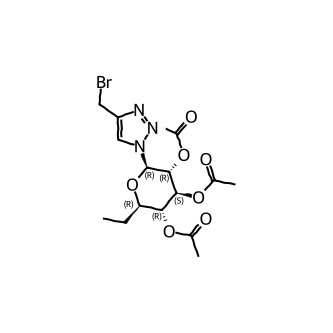 CC[C@H]1O[C@@H](n2cc(CBr)nn2)[C@H](OC(C)=O)[C@@H](OC(C)=O)[C@@H]1OC(C)=O